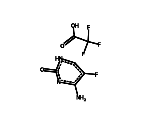 Nc1nc(=O)[nH]cc1F.O=C(O)C(F)(F)F